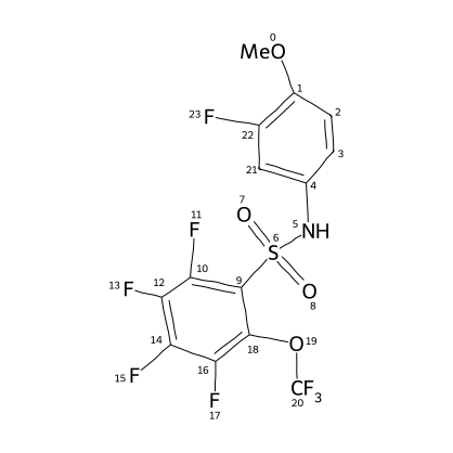 COc1ccc(NS(=O)(=O)c2c(F)c(F)c(F)c(F)c2OC(F)(F)F)cc1F